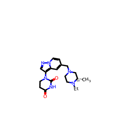 CCN1CCN(Cc2ccn3ncc(N4CCC(=O)NC4=O)c3c2)C[C@@H]1C